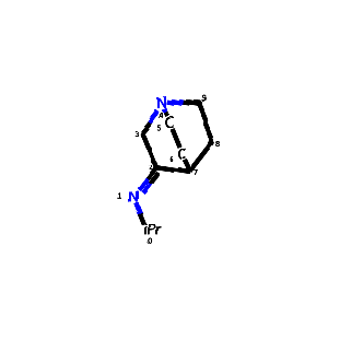 CC(C)N=C1CN2CCC1CC2